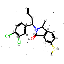 C=CCC(c1ccc(Cl)c(Cl)c1)N1C(=O)c2cc(SC)ccc2C1C